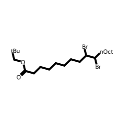 CCCCCCCCC(Br)C(Br)CCCCCCCC(=O)OCC(C)(C)C